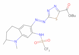 CC(C)COC(=O)c1nnc(N=Nc2cc3c(cc2NS(=O)(=O)C(F)(F)F)N(C)C(C)CC3)s1